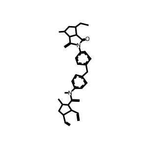 C=CC1CC(C)C(C(=C)N(C)c2ccc(Cc3ccc(N4C(=C)C5C(C)CC(CC)C5C4=O)cc3)cc2)C1C=C